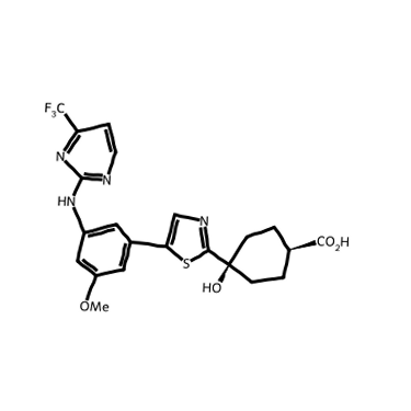 COc1cc(Nc2nccc(C(F)(F)F)n2)cc(-c2cnc([C@]3(O)CC[C@@H](C(=O)O)CC3)s2)c1